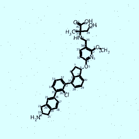 COc1nc(O[C@H]2CCc3c(-c4cccc(-c5ccc6c(c5)C[C@@H](N)C6)c4Cl)cccc32)ccc1CNC(C)(CO)C(=O)O